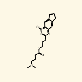 CN(C)CCCC(=O)OCCCc1nc2cc3c(cc2[n+]([O-])n1)CCC3